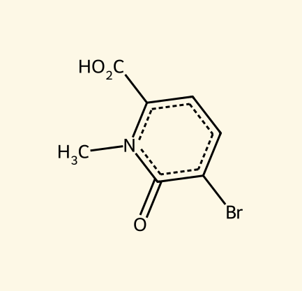 Cn1c(C(=O)O)ccc(Br)c1=O